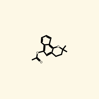 CC(=O)Oc1[c]c2c(c3ccccc13)OC(C)(C)CC2